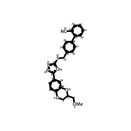 COCC1COc2ccc(-c3nnc(SCc4ccc(-c5ccccc5C#N)cc4)o3)cc2O1